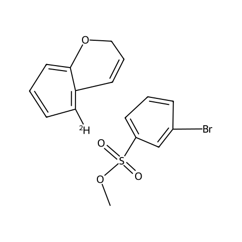 COS(=O)(=O)c1cccc(Br)c1.[2H]c1cccc2c1C=CCO2